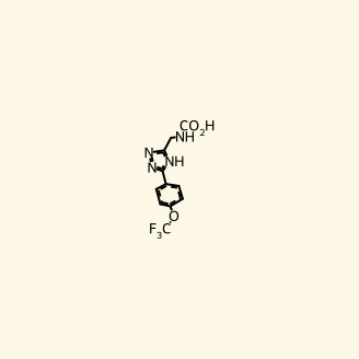 O=C(O)NCc1nnc(-c2ccc(OC(F)(F)F)cc2)[nH]1